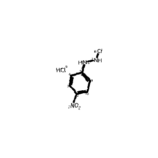 Cl.O=[N+]([O-])c1ccc(NNCl)cc1